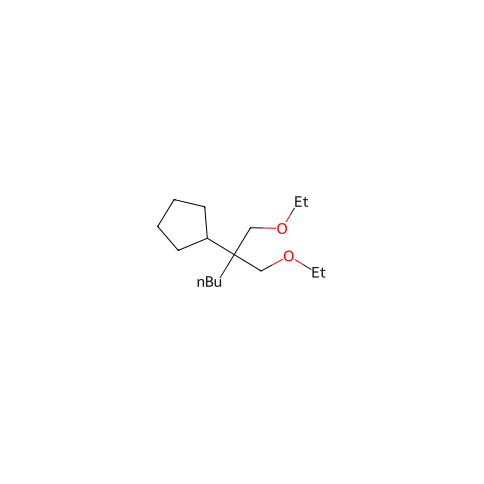 CCCCC(COCC)(COCC)C1CCCC1